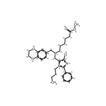 CCCCn1c(-c2ccccc2)nc(Cl)c1CN(CCCCCC(=O)OC)Cc1ccc2c(c1)OCCO2